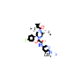 Cc1cc(NC(=O)C(=O)N2C[C@@H](C)N(C(=O)C3(C(F)(F)F)CC3)C[C@@H]2c2ccc(F)cc2)cnc1N